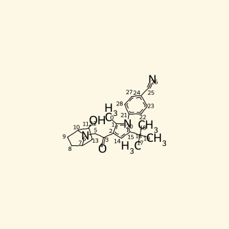 Cc1c(C(=O)CN2C3CCC2[C@@H](O)C3)cc(C(C)(C)C)n1-c1ccc(C#N)cc1